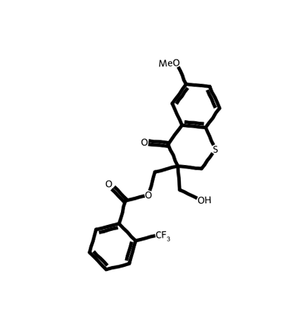 COc1ccc2c(c1)C(=O)C(CO)(COC(=O)c1ccccc1C(F)(F)F)CS2